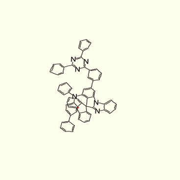 c1ccc(-c2ccc(N(c3ccccc3)c3cc(-c4cccc(-c5nc(-c6ccccc6)nc(-c6ccccc6)n5)c4)cc4c3C3(c5ccccc5-c5ccccc53)c3nc5ccccc5n3-4)cc2)cc1